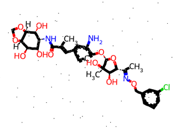 C/C(=C\c1ccc(O[C@@H]2O[C@H](/C(C)=N/OCc3cccc(Cl)c3)[C@@H](O)[C@@]2(C)O)c(N)c1)C(=O)N[C@@H]1[C@H](O)[C@@H](O)[C@H]2OCO[C@H]2[C@@H]1O